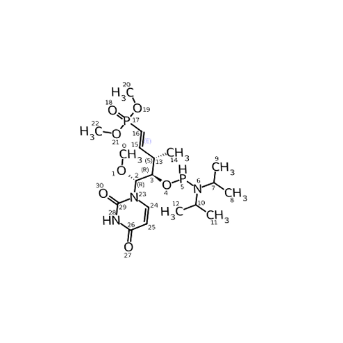 CO[C@H]([C@H](OPN(C(C)C)C(C)C)[C@@H](C)/C=C/P(=O)(OC)OC)n1ccc(=O)[nH]c1=O